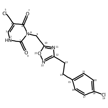 O=c1[nH]cc(Cl)c(=O)n1Cc1nc(CCc2ccc(Cl)cc2)no1